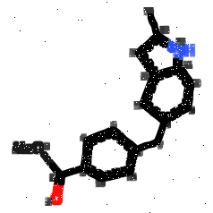 COC(=O)c1ccc(Cc2ccc3[nH]c(C)cc3c2)cc1